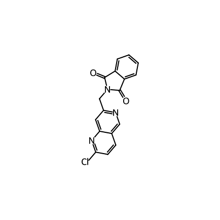 O=C1c2ccccc2C(=O)N1Cc1cc2nc(Cl)ccc2cn1